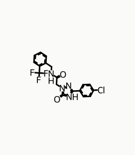 O=C(Cn1nc(-c2ccc(Cl)cc2)[nH]c1=O)NCc1ccccc1C(F)(F)F